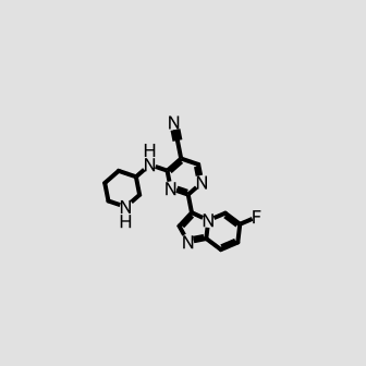 N#Cc1cnc(-c2cnc3ccc(F)cn23)nc1NC1CCCNC1